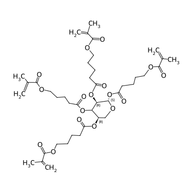 C=C(C)C(=O)OCCCCC(=O)OC1[C@@H](OC(=O)CCCCOC(=O)C(=C)C)[C@H](OC(=O)CCCCOC(=O)C(=C)C)OC[C@H]1OC(=O)CCCCOC(=O)C(=C)C